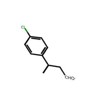 CC(C[C]=O)c1ccc(Cl)cc1